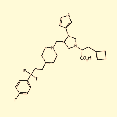 O=C(O)[C@@H](CC1CCC1)N1CC(CN2CCC(CCC(F)(F)c3ccc(F)cc3)CC2)C(c2ccsc2)C1